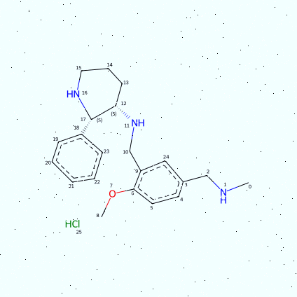 CNCc1ccc(OC)c(CN[C@H]2CCCN[C@H]2c2ccccc2)c1.Cl